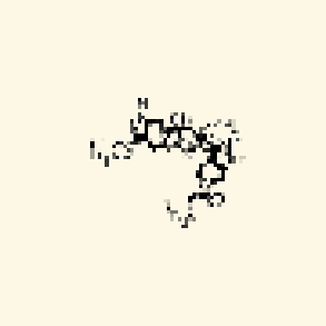 CCC(=O)N1CCc2c(C(C)(C)CC(C)(C)N3CCc4c(SC)n[nH]c4C3)n[nH]c2C1